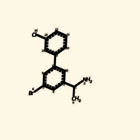 CC(N)c1cc(Br)cc(-c2cccc(Cl)c2)c1